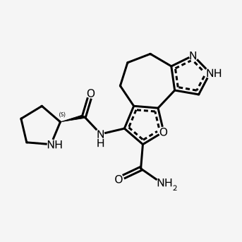 NC(=O)c1oc2c(c1NC(=O)[C@@H]1CCCN1)CCCc1n[nH]cc1-2